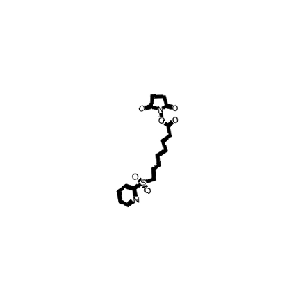 O=C(CCCCCCCS(=O)(=O)c1ccccn1)ON1C(=O)CCC1=O